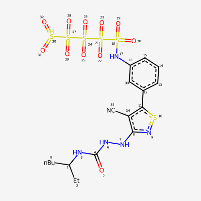 CCCCC(CC)NC(=O)NNc1nsc(-c2cccc(NS(=O)(=O)S(=O)(=O)S(=O)(=O)S(=O)(=O)[SH](=O)=O)c2)c1C#N